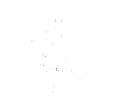 Cc1nc(N)nc2c1C(=O)C(NC(=O)c1ccccc1)C(c1ccccc1)C2